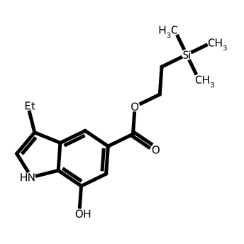 CCc1c[nH]c2c(O)cc(C(=O)OCC[Si](C)(C)C)cc12